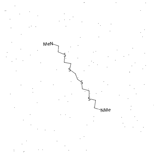 CNCCSCCSCCSCCSCCNC